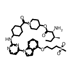 CC[C@H](C)[C@@H](N)C(=O)OC1CCN(C(=O)C2CCC(Nc3nccc(-n4ccc5c(OCCCS(C)(=O)=O)cccc54)n3)CC2)CC1